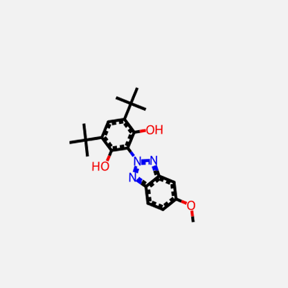 COc1ccc2nn(-c3c(O)c(C(C)(C)C)cc(C(C)(C)C)c3O)nc2c1